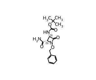 CC(C)(C)OC(=O)N[C@@H]1C(=O)N(OCc2ccccc2)[C@@H]1C(N)=O